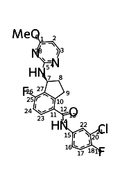 COc1ccnc(N[C@H]2CCc3c(C(=O)Nc4ccc(F)c(Cl)c4)ccc(F)c32)n1